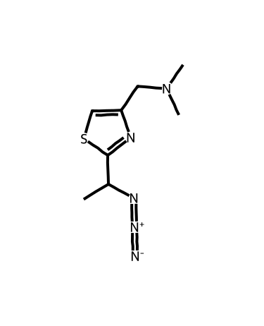 CC(N=[N+]=[N-])c1nc(CN(C)C)cs1